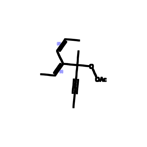 CC#CC(C)(OOC(C)=O)C(/C=C\C)=C/C